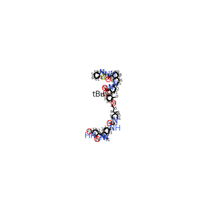 Cc1c(OCCCC2(C)CCN(CC(=O)Nc3ccc4c(C5CCC(=O)NC5=O)nn(C)c4c3)CC2)cccc1-c1ccc(N2CCc3cccc(C(=O)Nc4nc5ccccc5s4)c3C2)nc1C(=O)OC(C)(C)C